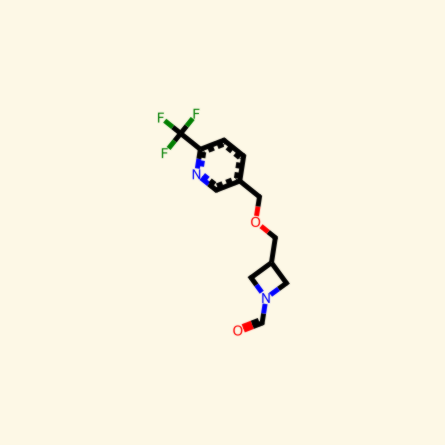 O=CN1CC(COCc2ccc(C(F)(F)F)nc2)C1